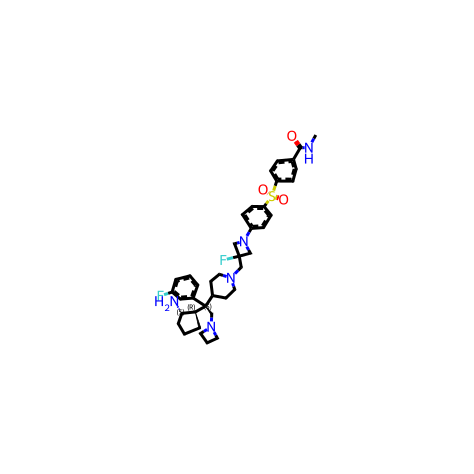 CNC(=O)c1ccc(S(=O)(=O)c2ccc(N3CC(F)(CN4CCC([C@@](CN5CCC5)(c5cccc(F)c5)[C@H]5CCC[C@@H]5N)CC4)C3)cc2)cc1